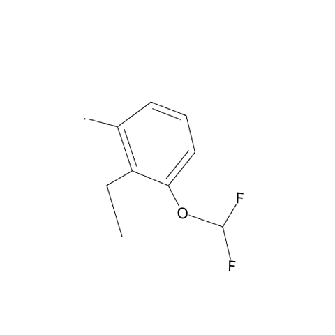 [CH2]c1cccc(OC(F)F)c1CC